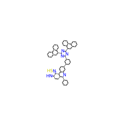 N=C1C=Cc2c(-c3ccccc3)nc3cc(-c4cccc(-c5nc(-c6cc7ccccc7c7ccccc67)nc(-c6cc7ccccc7c7ccccc67)n5)c4)ccc3c2/C1=N/S